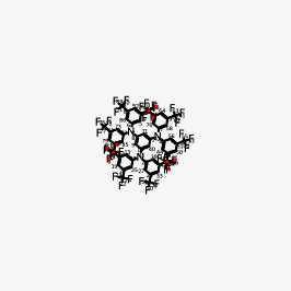 FC(F)(F)c1cc(N(c2cc(N(c3cc(C(F)(F)F)cc(C(F)(F)F)c3)c3cc(C(F)(F)F)cc(C(F)(F)F)c3)cc(N(c3cc(C(F)(F)F)cc(C(F)(F)F)c3)c3cc(C(F)(F)F)cc(C(F)(F)F)c3)c2)c2cc(C(F)(F)F)cc(C(F)(F)F)c2)cc(C(F)(F)F)c1